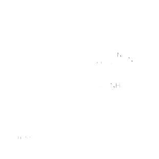 CCCCCCCCCCCCCCCCCC(=O)Nc1c(C)n(C)n(-c2ccccc2)c1=O